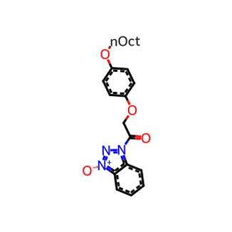 CCCCCCCCOc1ccc(OCC(=O)n2n[n+]([O-])c3ccccc32)cc1